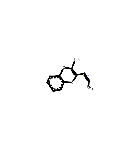 C/C=C\C1=C(C)Oc2ccccc2O1